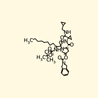 CCCCCCCC[C@H](NC(=O)OC(C)(C)C)C(=O)N1C[C@H](OC(=O)N2Cc3ccccc3C2)C[C@H]1C(=O)NC1(C(=O)NCC2CC2)CC1